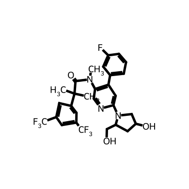 CN(C(=O)C(C)(C)c1cc(C(F)(F)F)cc(C(F)(F)F)c1)c1cnc(N2CC(O)CC2CO)cc1-c1cccc(F)c1